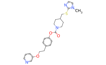 Cn1ccnc1SCC1CCN(C(=O)Oc2ccc(CCOc3cccnc3)cc2)CC1